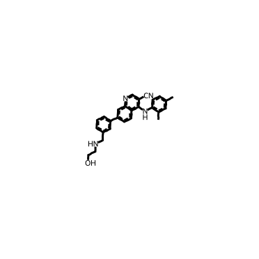 Cc1ccc(Nc2c(C#N)cnc3cc(-c4cccc(CNCCO)c4)ccc23)c(C)c1